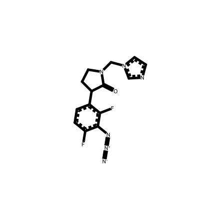 [N-]=[N+]=Nc1c(F)ccc(C2CCN(Cn3ccnc3)C2=O)c1F